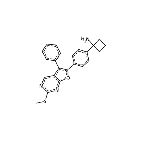 CSc1ncc2c(-c3ccccc3)c(-c3ccc(C4(N)CCC4)cc3)oc2n1